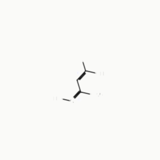 COC(/C=C(\C)C(F)(F)F)=N/O